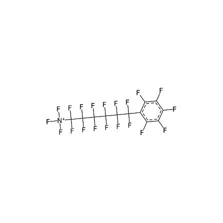 Fc1c(F)c(F)c(C(F)(F)C(F)(F)C(F)(F)C(F)(F)C(F)(F)C(F)(F)[N+](F)(F)F)c(F)c1F